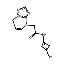 CC(C)C12CC(NC(=O)CN3C=CCn4ncnc43)(C1)C2